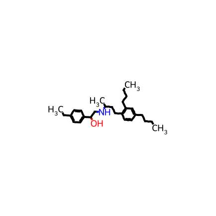 CCCCc1ccc(CCC(C)NCC(O)c2ccc(CC)cc2)c(CCCC)c1